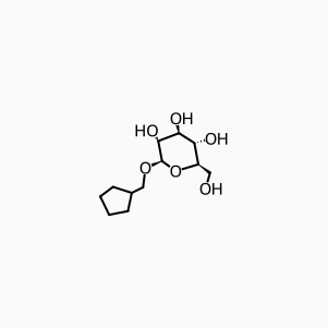 OC[C@H]1O[C@@H](OCC2CCCC2)[C@H](O)[C@@H](O)[C@@H]1O